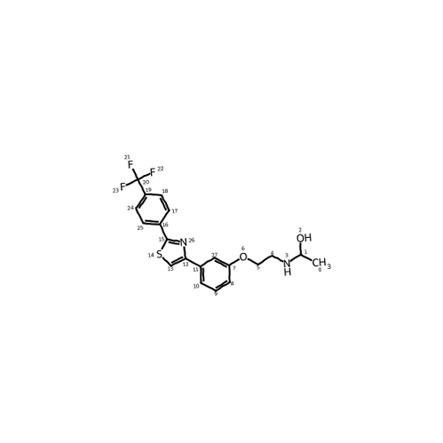 CC(O)NCCOc1cccc(-c2csc(-c3ccc(C(F)(F)F)cc3)n2)c1